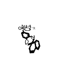 NS(=O)(=O)c1ccc2c(c1)N=CC1(CC=Cc3ccccc31)CO2